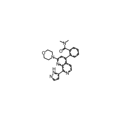 CN(C)C(=O)c1ccccc1-c1cc(N2CCOCC2)nc2c(-c3ccn[nH]3)nccc12